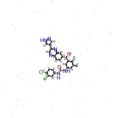 O=C(Nc1ccc(Cl)c(F)c1)Nc1cc(F)c(F)c(C(=O)c2ccc3ncc(-c4cn[nH]c4)nc3c2)c1